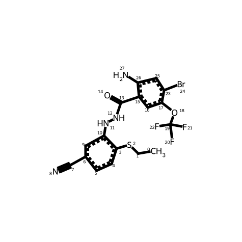 CCSc1ccc(C#N)cc1NNC(=O)c1cc(OC(F)(F)F)c(Br)cc1N